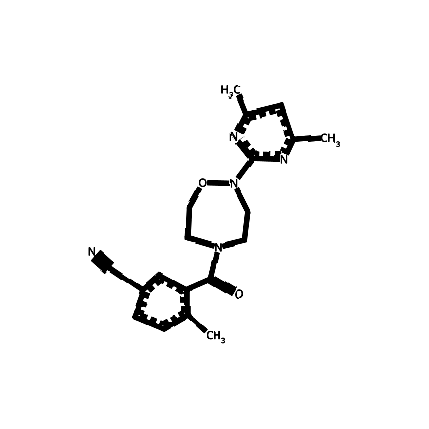 Cc1cc(C)nc(N2CCN(C(=O)c3cc(C#N)ccc3C)CCO2)n1